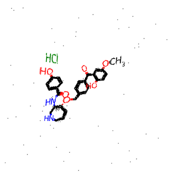 COc1ccc(O)c(C(=O)c2ccc(CO[C@@H]3CCCNC[C@H]3NC(=O)c3ccc(O)cc3)cc2)c1.Cl